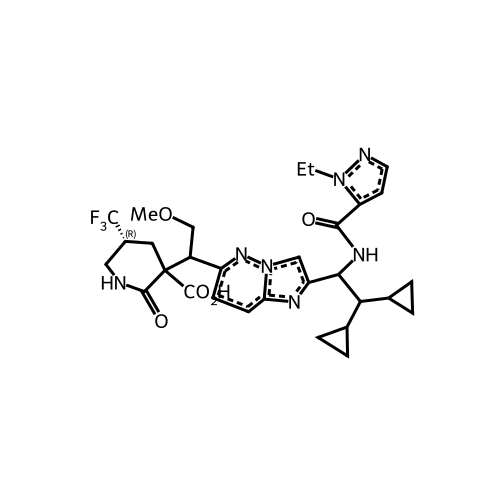 CCn1nccc1C(=O)NC(c1cn2nc(C(COC)C3(C(=O)O)C[C@@H](C(F)(F)F)CNC3=O)ccc2n1)C(C1CC1)C1CC1